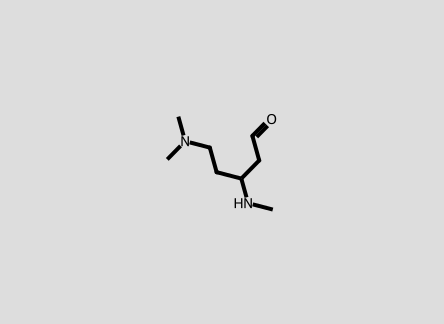 CNC(CC=O)CCN(C)C